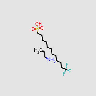 C=CCN.O=S(=O)(O)CCCCCCCCCCCC(F)(F)F